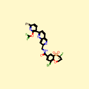 CC(C)c1ccc(-c2ccc3cnc(CNC(=O)c4cc(Br)c5c(c4)S(=O)(=O)[C@@H](F)CCO5)cc3n2)c(OC(F)F)n1